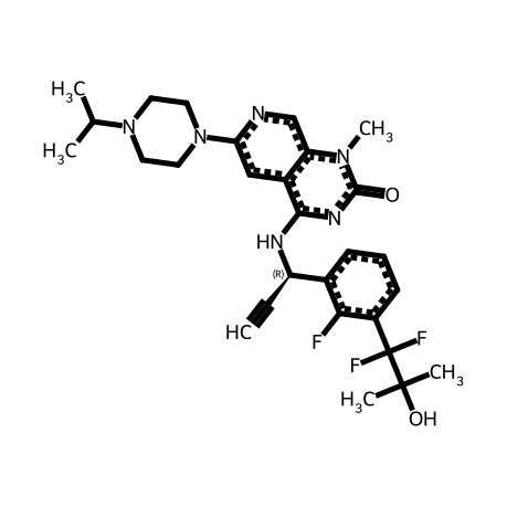 C#C[C@@H](Nc1nc(=O)n(C)c2cnc(N3CCN(C(C)C)CC3)cc12)c1cccc(C(F)(F)C(C)(C)O)c1F